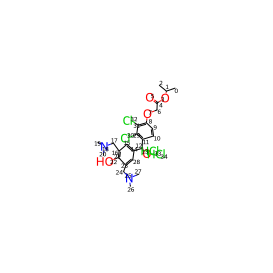 CC(C)OC(=O)COc1ccc(C(=O)c2cc(CN(C)C)c(O)c(CN(C)C)c2)c(Cl)c1Cl.Cl.Cl